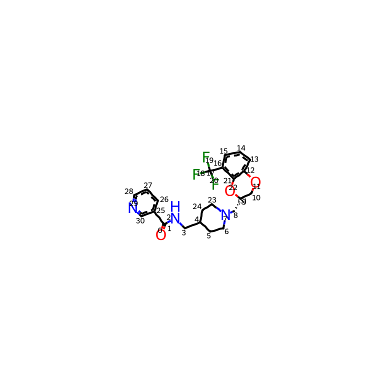 O=C(NCC1CCN(C[C@H]2COc3cccc(C(F)(F)F)c3O2)CC1)c1cccnc1